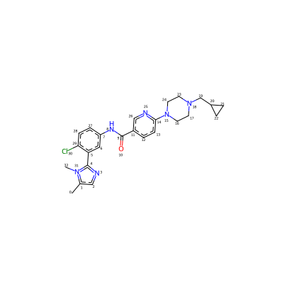 Cc1cnc(-c2cc(NC(=O)c3ccc(N4CCN(CC5CC5)CC4)nc3)ccc2Cl)n1C